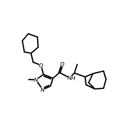 CC(NC(=O)c1cnn(C)c1OCC1CCCCC1)C1CC2CCCC1C2